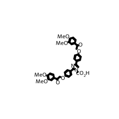 COc1ccc(C(=O)COc2ccc(-c3cn(C(=O)O)c(-c4ccc(OCC(=O)c5ccc(OC)c(OC)c5)cc4)n3)cc2)cc1OC